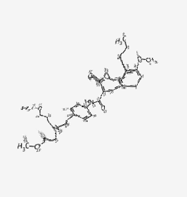 CCCc1c(OC)ccc2cc(C(=O)Nc3ccc(CN(CCOC)CCOC)cc3)c(=O)oc12